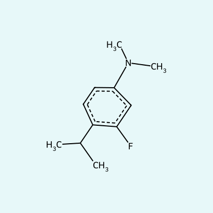 CC(C)c1ccc(N(C)C)cc1F